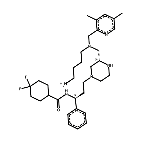 Cc1cnc(CN(CCCCN)C[C@H]2CN(CC[C@H](NC(=O)C3CCC(F)(F)CC3)c3ccccc3)CCN2)c(C)c1